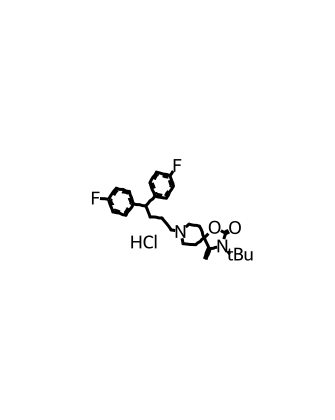 C=C1N(C(C)(C)C)C(=O)OC12CCN(CCCC(c1ccc(F)cc1)c1ccc(F)cc1)CC2.Cl